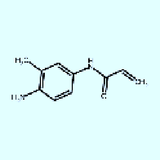 C=CC(=O)Nc1ccc(N)c(C)c1